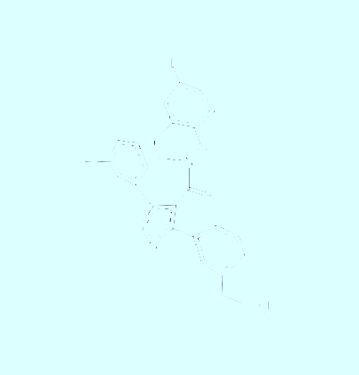 CCN(Oc1ccc(Cl)cc1Cl)C(=O)c1c(-c2cccc(CC(=O)O)c2)noc1-c1cccc(C)c1